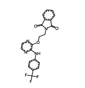 O=C1c2ccccc2C(=O)N1CCOc1nccnc1Nc1ccc(C(F)(F)F)cc1